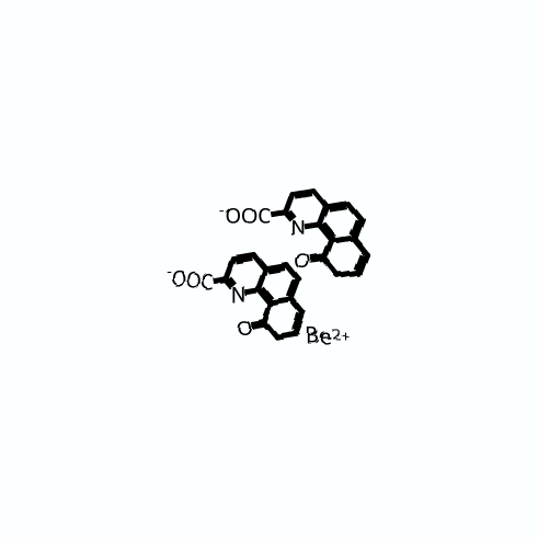 O=C([O-])c1ccc2ccc3c(c2n1)C(=O)CC=C3.O=C([O-])c1ccc2ccc3c(c2n1)C(=O)CC=C3.[Be+2]